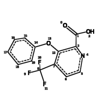 O=C(O)c1nccc(C(F)(F)F)c1Oc1ccccc1